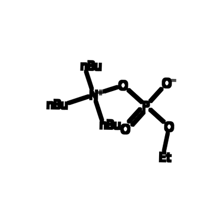 CCCC[N+](CCCC)(CCCC)OP(=O)([O-])OCC